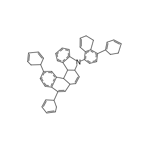 C1=CCCC(c2ccc(N3c4ccccc4C4C5c6cc(C7C=CC=CC7)ccc6C(C6C=CC=CC6)=CC5C=CC43)c3c2CCC=C3)=C1